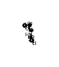 O=C(c1cnoc1-c1ccccc1)N1CC[C@H](CNc2nc3ccc(Cl)cc3o2)C1